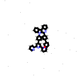 c1ccc(-c2ccc(-c3nc4ccccc4c4c5ccccc5n(-c5ccc(-c6cc(-c7ccccn7)nc(-c7ccccn7)c6)cc5)c34)cc2)cc1